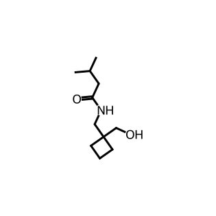 CC(C)CC(=O)NCC1(CO)CCC1